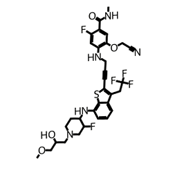 CNC(=O)c1cc(OCC#N)c(NCC#Cc2sc3c(NC4CCN(CC(O)COC)CC4F)cccc3c2CC(F)(F)F)cc1F